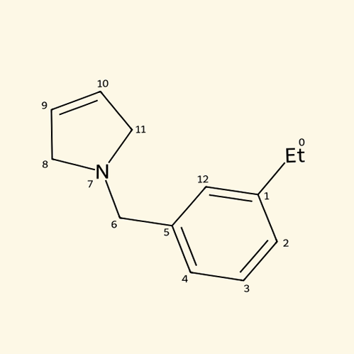 CCc1cccc(CN2CC=CC2)c1